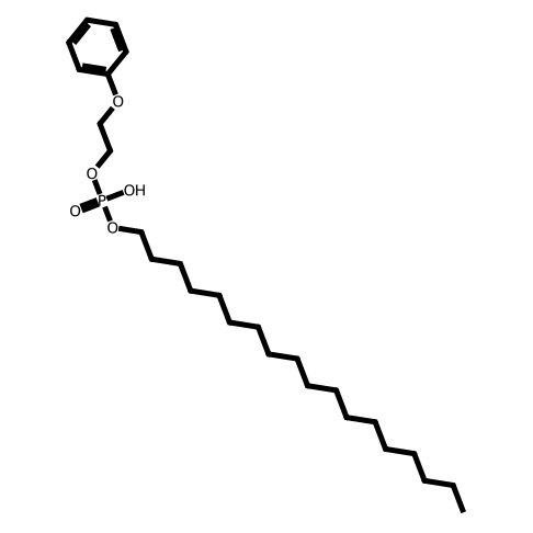 CCCCCCCCCCCCCCCCCCOP(=O)(O)OCCOc1ccccc1